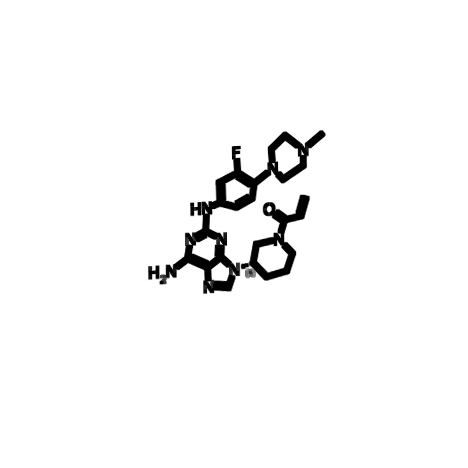 C=CC(=O)N1CCC[C@H](n2cnc3c(N)nc(Nc4ccc(N5CCN(C)CC5)c(F)c4)nc32)C1